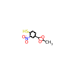 CC1OC(c2ccc(S)c([N+](=O)[O-])c2)O1